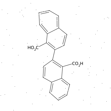 O=C(O)c1c(-c2ccc3ccccc3c2C(=O)O)ccc2ccccc12